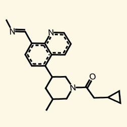 C/N=C/c1ccc(C2CC(C)CN(C(=O)CC3CC3)C2)c2cccnc12